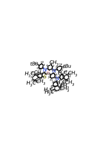 Cc1cc2c3c(c1)N(c1ccc(C(C)(C)C)cc1)c1c(sc4cc5c(cc14)C(C)(C)CCC5(C)C)B3c1ccc(N(c3ccc4c(c3)C(C)(C)CCC4(C)C)c3ccc4c(c3)C(C)(C)CCC4(C)C)cc1N2c1ccc(C(C)(C)C)cc1